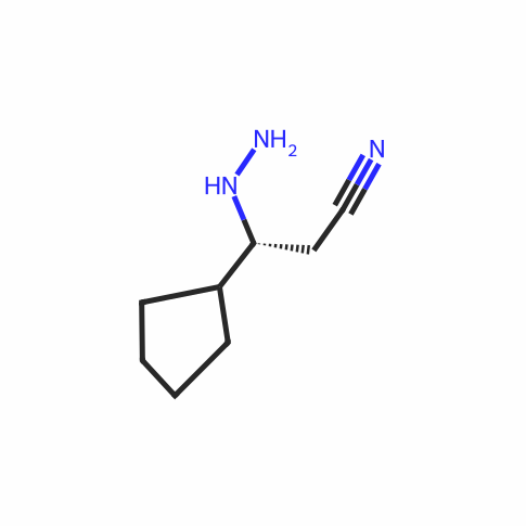 N#CC[C@@H](NN)C1CCCC1